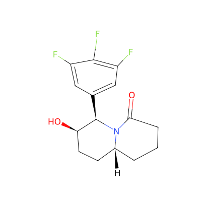 O=C1CCC[C@@H]2CC[C@@H](O)[C@@H](c3cc(F)c(F)c(F)c3)N12